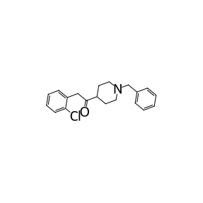 O=C(Cc1ccccc1Cl)C1CCN(Cc2ccccc2)CC1